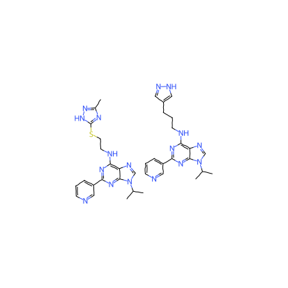 CC(C)n1cnc2c(NCCCc3cn[nH]c3)nc(-c3cccnc3)nc21.Cc1n[nH]c(SCCNc2nc(-c3cccnc3)nc3c2ncn3C(C)C)n1